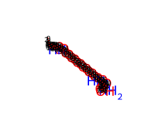 CC(C)CCC[C@@H](C)[C@H]1CCC2C3CC=C4CC(OC(=O)CNC(=O)CCOCCOCCOCCOCCOCCOCCOCCOCCOCCOCCOCCOCCNC(=O)CCN5C(=O)CC(SC[C@H](N)C(=O)O)C5=O)CC[C@]4(C)C3CC[C@@]21C